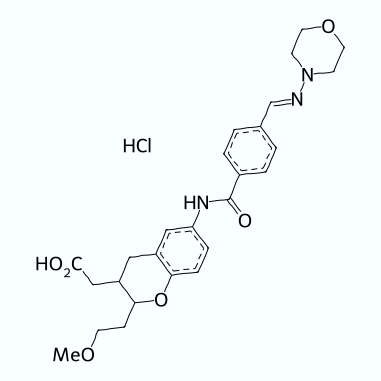 COCCC1Oc2ccc(NC(=O)c3ccc(C=NN4CCOCC4)cc3)cc2CC1CC(=O)O.Cl